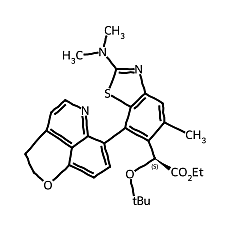 CCOC(=O)[C@@H](OC(C)(C)C)c1c(C)cc2nc(N(C)C)sc2c1-c1ccc2c3c(ccnc13)CCO2